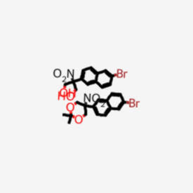 CC1(C)OCC(c2ccc3cc(Br)ccc3c2)([N+](=O)[O-])CO1.O=[N+]([O-])C(CO)(CO)c1ccc2cc(Br)ccc2c1